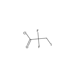 O=C(Cl)C(F)(F)CI